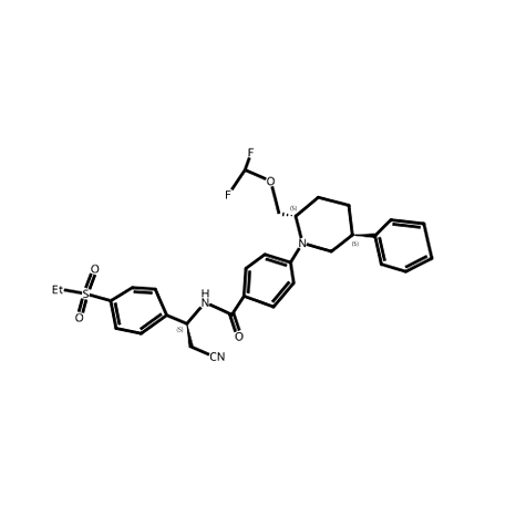 CCS(=O)(=O)c1ccc([C@H](CC#N)NC(=O)c2ccc(N3C[C@H](c4ccccc4)CC[C@H]3COC(F)F)cc2)cc1